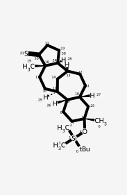 CC(C)(C)[Si](C)(C)O[C@]1(C)CC[C@H]2[C@H](CC[C@@H]3C[C@@H]2CC[C@]2(C)C(=S)CC[C@@H]32)C1